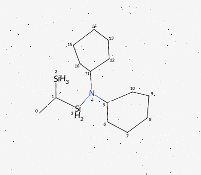 CC([SiH3])[SiH2]N(C1CCCCC1)C1CCCCC1